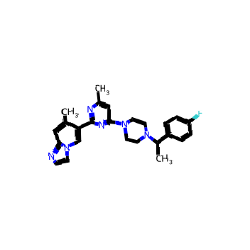 Cc1cc(N2CCN(C(C)c3ccc(F)cc3)CC2)nc(-c2cn3ccnc3cc2C)n1